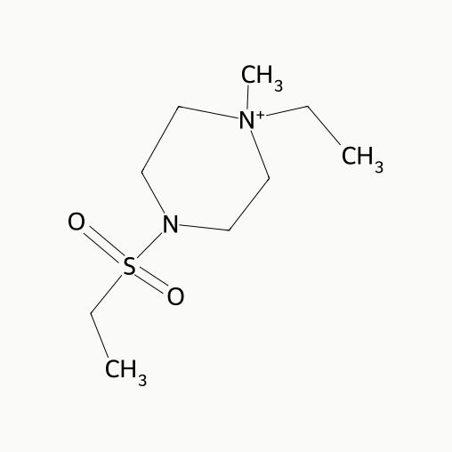 CC[N+]1(C)CCN(S(=O)(=O)CC)CC1